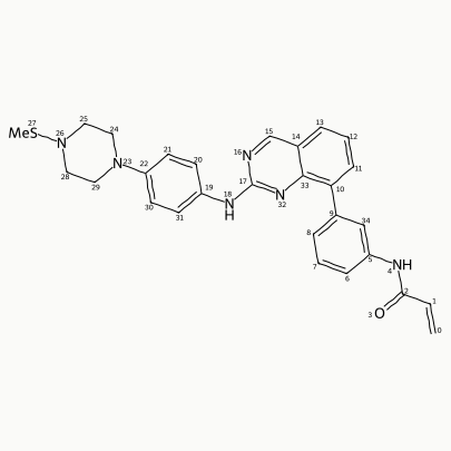 C=CC(=O)Nc1cccc(-c2cccc3cnc(Nc4ccc(N5CCN(SC)CC5)cc4)nc23)c1